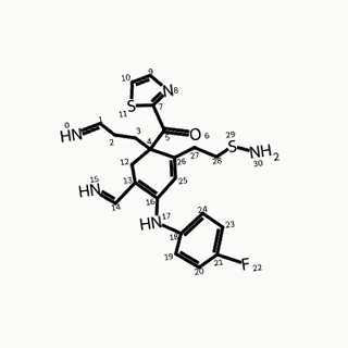 N=CCCC1(C(=O)c2nccs2)CC(C=N)=C(Nc2ccc(F)cc2)C=C1CCSN